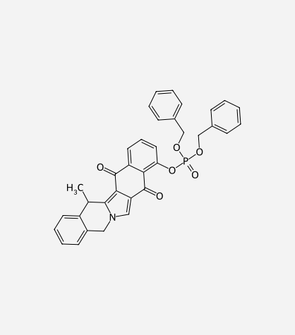 CC1c2ccccc2Cn2cc3c(c21)C(=O)c1cccc(OP(=O)(OCc2ccccc2)OCc2ccccc2)c1C3=O